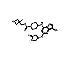 CC(C)c1cnn2c(NC3CCN(C(=O)OCC4(F)CNC4)CC3)cc(N[C@H]3CNC(=O)C3)nc12